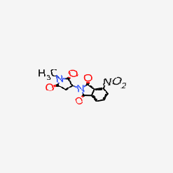 CN1C(=O)C[C@H](N2C(=O)c3cccc([N+](=O)[O-])c3C2=O)C1=O